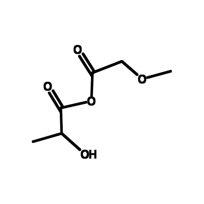 COCC(=O)OC(=O)C(C)O